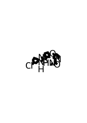 CNC(=O)c1cc(Oc2ccc3nc(Nc4cccc(Cl)c4)sc3c2)ccn1